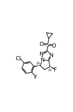 O=S(=O)(c1nc2n(n1)[C@H](c1cc(Cl)ccc1F)C[C@@H]2F)C1CC1